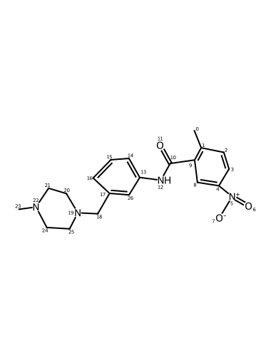 Cc1ccc([N+](=O)[O-])cc1C(=O)Nc1cccc(CN2CCN(C)CC2)c1